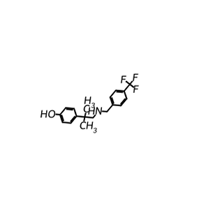 CC(C)(CNCc1ccc(C(F)(F)F)cc1)c1ccc(O)cc1